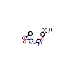 Cc1cc(Oc2ccc(CN3CCC(N4C(=O)OCC4c4ccccc4)CC3)c(C)n2)ccc1C(=O)O